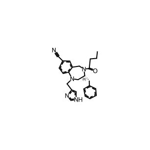 CCCC(=O)N1Cc2cc(C#N)ccc2N(Cc2c[nH]cn2)C[C@H]1Cc1ccccc1